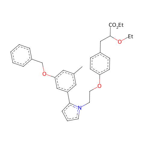 CCOC(=O)C(Cc1ccc(OCCn2cccc2-c2cc(C)cc(OCc3ccccc3)c2)cc1)OCC